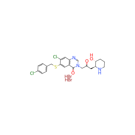 Br.Br.O=C(C[C@@H]1NCCC[C@H]1O)Cn1cnc2cc(Cl)c(SCc3ccc(Cl)cc3)cc2c1=O